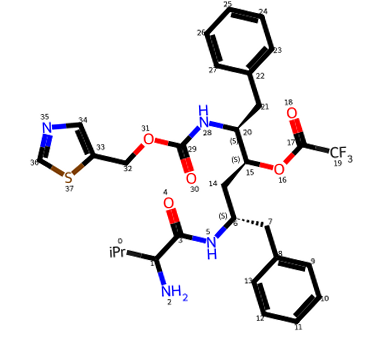 CC(C)C(N)C(=O)N[C@@H](Cc1ccccc1)C[C@H](OC(=O)C(F)(F)F)[C@H](Cc1ccccc1)NC(=O)OCc1cncs1